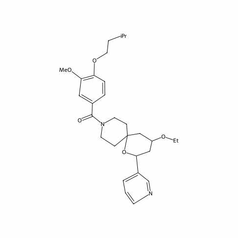 CCOC1CC(c2cccnc2)OC2(CCN(C(=O)c3ccc(OCCC(C)C)c(OC)c3)CC2)C1